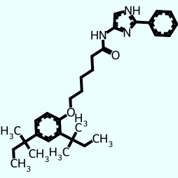 CCC(C)(C)c1ccc(OCCCCCC(=O)Nc2c[nH]c(-c3ccccc3)n2)c(C(C)(C)CC)c1